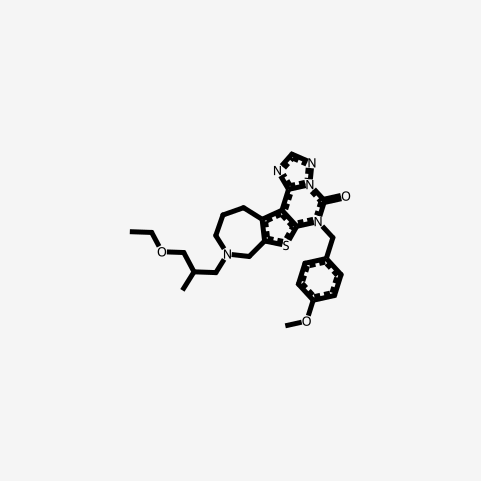 CCOCC(C)CN1CCCc2c(sc3c2c2ncnn2c(=O)n3Cc2ccc(OC)cc2)C1